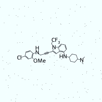 COc1cc(Cl)ccc1NCC#Cc1cc2c(NC3CCC(N(C)C)CC3)cccc2n1CC(F)(F)F